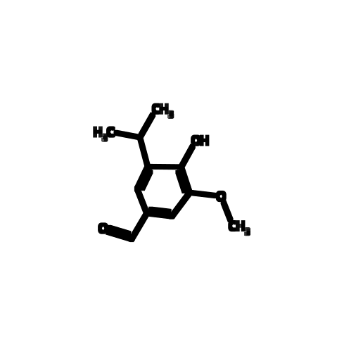 COc1cc(C=O)cc(C(C)C)c1O